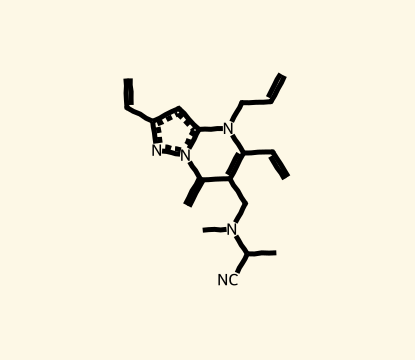 C=CCN1C(C=C)=C(CN(C)C(C)C#N)C(=C)n2nc(C=C)cc21